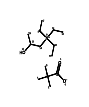 CC(C)(C)C(=O)[O-].CC[N+](CC)(CC)CC(C)O